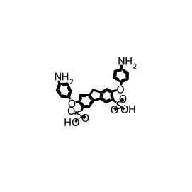 Nc1ccc(Oc2cc3c(cc2S(=O)(=O)O)-c2cc(S(=O)(=O)O)c(Oc4ccc(N)cc4)cc2C3)cc1